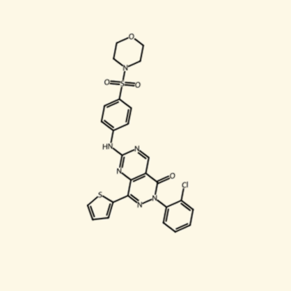 O=c1c2cnc(Nc3ccc(S(=O)(=O)N4CCOCC4)cc3)nc2c(-c2cccs2)nn1-c1ccccc1Cl